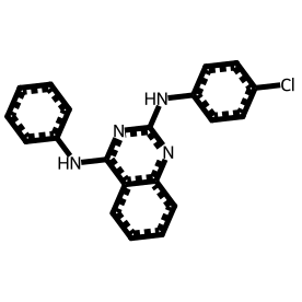 Clc1ccc(Nc2nc(Nc3ccccc3)c3ccccc3n2)cc1